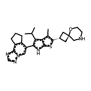 Cc1c2c(C(C)C)c(-c3cn4ncnc4c4c3CCC4)[nH]c2sc1[C@H]1C[C@@]2(CNCCO2)C1